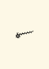 CCCCCCCC=CCCc1ccccc1C